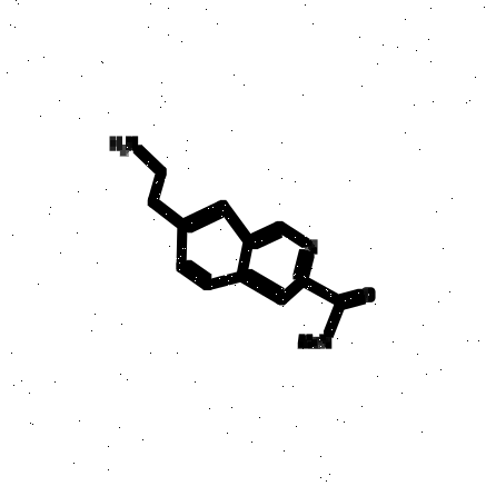 CNC(=O)c1cc2ccc(CCN)cc2cn1